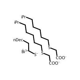 CC(C)CCCCCSCC(=O)[O-].CC(C)CCCCCSCC(=O)[O-].CCCCCCCCCCCC[S-].[Bi+3]